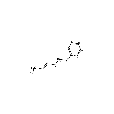 C[SiH2]C=CCNCc1ccccc1